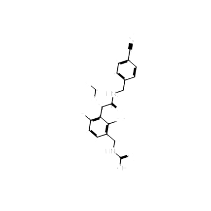 CCO[C@H](C(=O)NCc1ccc(C#N)cc1)c1c(F)ccc(CNC(C)=O)c1F